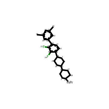 CCCC1CCC(C2CCC(c3ccc(-c4cc(C)cc(C)c4)c(F)c3F)CC2)CC1